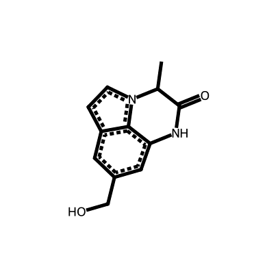 CC1C(=O)Nc2cc(CO)cc3ccn1c23